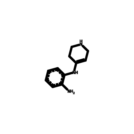 Nc1ccccc1NC1=CCNCC1